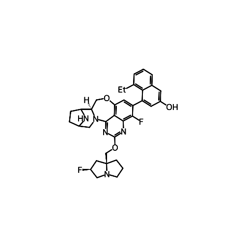 CCc1cccc2cc(O)cc(-c3cc4c5c(nc(OC[C@@]67CCCN6C[C@@H](F)C7)nc5c3F)N3CC5CCC(N5)[C@H]3CO4)c12